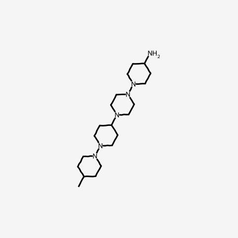 CC1CCN(N2CCC(N3CCN(N4CCC(N)CC4)CC3)CC2)CC1